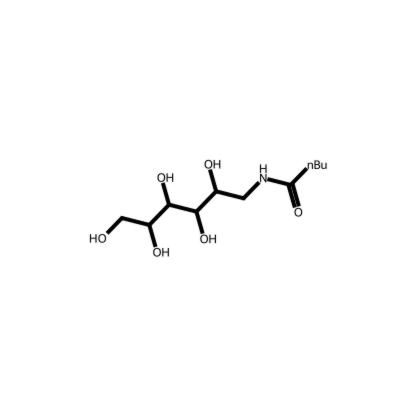 CCCCC(=O)NCC(O)C(O)C(O)C(O)CO